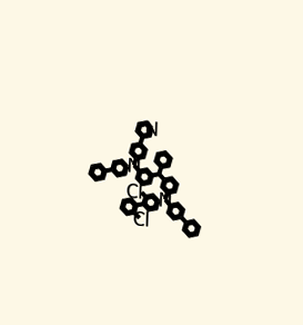 Clc1ccccc1-c1ccc(N(c2ccc(-c3ccccc3)cc2)c2cccc(C(c3ccccc3)c3cccc(N(c4ccc(-c5ccccc5)cc4)c4ccc(-c5cccnc5)cc4)c3)c2)cc1Cl